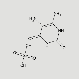 Nc1[nH]c(=O)[nH]c(=O)c1N.O=S(=O)(O)O